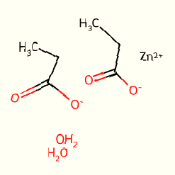 CCC(=O)[O-].CCC(=O)[O-].O.O.[Zn+2]